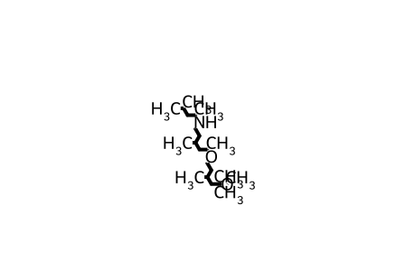 COC(C)(C)CC(C)CCOC(C)CC(C)CCNC(C)CC(C)C